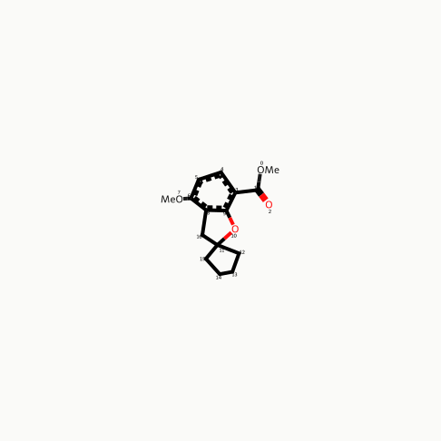 COC(=O)c1ccc(OC)c2c1OC1(CCCC1)C2